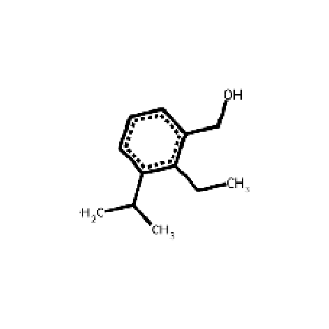 [CH2]C(C)c1cccc(CO)c1CC